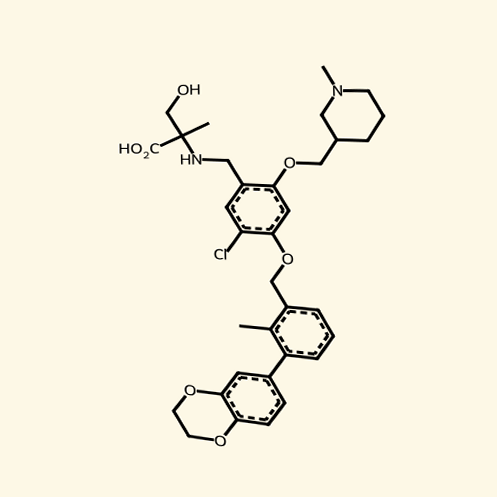 Cc1c(COc2cc(OCC3CCCN(C)C3)c(CNC(C)(CO)C(=O)O)cc2Cl)cccc1-c1ccc2c(c1)OCCO2